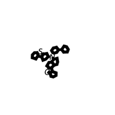 c1ccc(-c2cccc(N(c3ccc4c(c3)sc3ccccc34)c3cccc4c3ccc3oc5ccccc5c34)c2)cc1